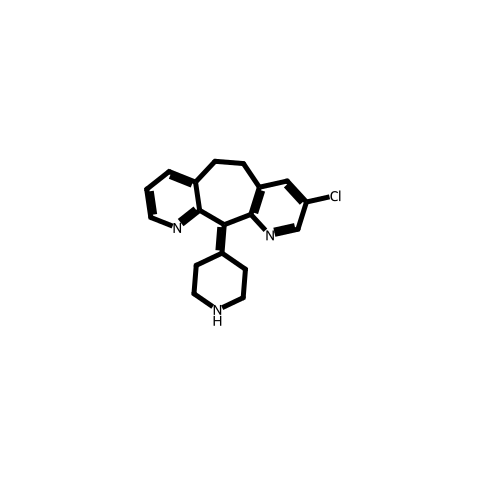 Clc1cnc2c(c1)CCc1cccnc1C2=C1CCNCC1